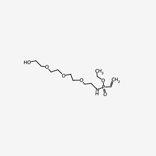 C=CP(=O)(NCCOCCOCCOCCO)OCC